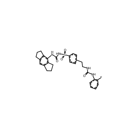 O=C(NCCc1ccc(S(=O)(=O)NC(=O)Nc2c3c(cc4c2CCC4)CCC3)cc1)Nc1ccccc1F